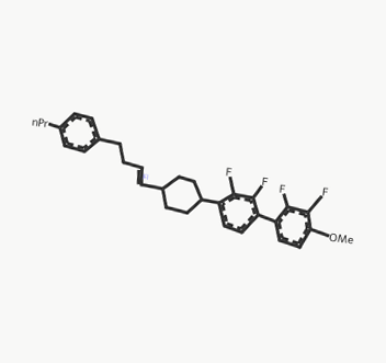 CCCc1ccc(CC/C=C/C2CCC(c3ccc(-c4ccc(OC)c(F)c4F)c(F)c3F)CC2)cc1